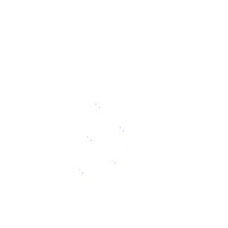 COc1ccccc1NC1=NC(N)=NC2(CCCC2)N1